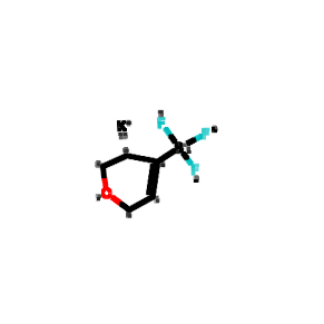 F[B-](F)(F)C1=CCOCC1.[K+]